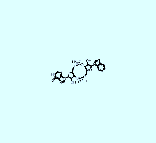 O=c1[nH]cnc2c1ncn2C1OC2COP(=O)(S)OC3C(COP(=O)(S)OC2C1O)OC(n1cnc2ccccc21)C3O